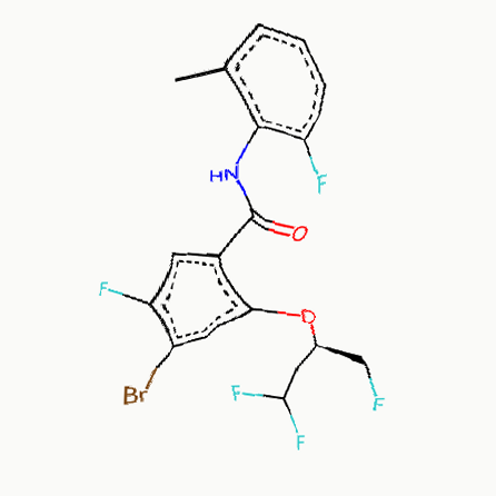 Cc1cccc(F)c1NC(=O)c1cc(F)c(Br)cc1O[C@@H](CF)C(F)F